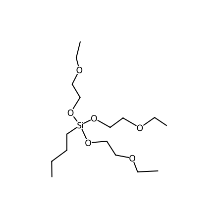 CCCC[Si](OCCOCC)(OCCOCC)OCCOCC